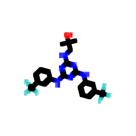 CC(C)(O)CNc1nc(Nc2cccc(C(F)(F)F)c2)nc(Nc2cccc(C(F)(F)F)c2)n1